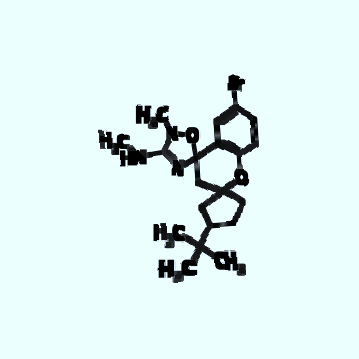 CNC1=NC2(CC3(CCC(C(C)(C)C)C3)Oc3ccc(Br)cc32)ON1C